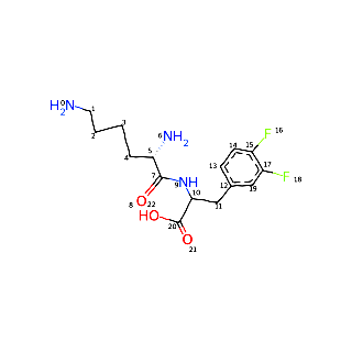 NCCCC[C@H](N)C(=O)NC(Cc1ccc(F)c(F)c1)C(=O)O